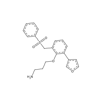 NCCCOc1c(CS(=O)(=O)c2ccccc2)cccc1-c1ccoc1